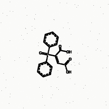 O=C(O)/C=C(\C(=O)O)P(=O)(c1ccccc1)c1ccccc1